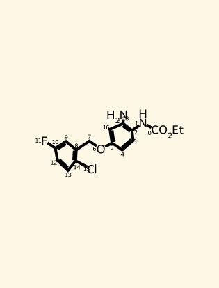 CCOC(=O)Nc1ccc(OCc2cc(F)ccc2Cl)cc1N